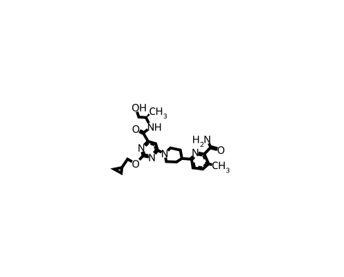 Cc1ccc(C2CCN(c3cc(C(=O)N[C@H](C)CO)nc(OCC4CC4)n3)CC2)nc1C(N)=O